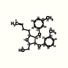 C=CCCC1OC(CO)C(Oc2cccc(C)c2)C1Oc1cccc(C)c1